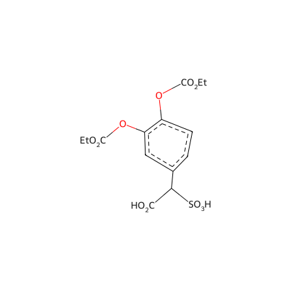 CCOC(=O)Oc1ccc(C(C(=O)O)S(=O)(=O)O)cc1OC(=O)OCC